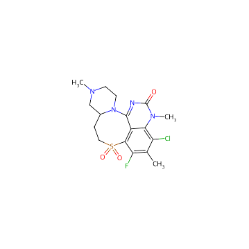 Cc1c(F)c2c3c(nc(=O)n(C)c3c1Cl)N1CCN(C)CC1CCS2(=O)=O